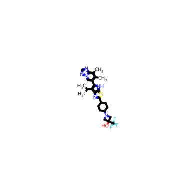 Cc1c(-c2[nH]c3sc(C4CCC(N5CC(O)(C(F)(F)F)C5)CC4)nc3c2C(C)C)cn2ncnc2c1C